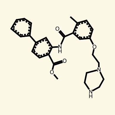 COC(=O)c1ccc(-c2ccccc2)cc1NC(=O)c1cc(OCCN2CCNCC2)ccc1C